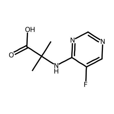 CC(C)(Nc1ncncc1F)C(=O)O